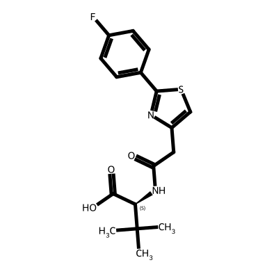 CC(C)(C)[C@H](NC(=O)Cc1csc(-c2ccc(F)cc2)n1)C(=O)O